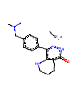 CN(C)Cc1ccc(-c2n[nH]c(=O)c3c2NCCC3)cc1.CS(=O)(=O)O